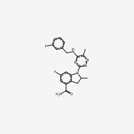 Cc1nnc(N2c3cc(F)cc(C(N)=O)c3CC2C)nc1NCc1cccc(F)c1